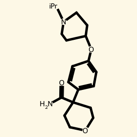 CC(C)N1CCC(Oc2ccc(C3(C(N)=O)CCOCC3)cc2)CC1